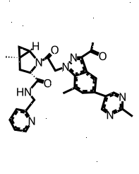 CC(=O)c1nn(CC(=O)N2[C@H](C(=O)NCc3ccccn3)C[C@@]3(C)C[C@@H]23)c2c(C)cc(-c3cnc(C)nc3)cc12